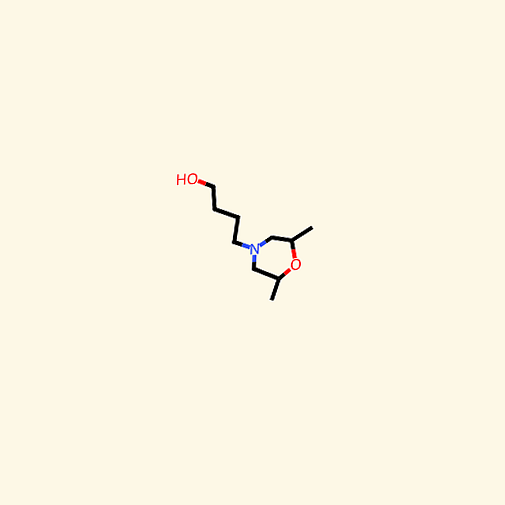 CC1CN(CCCCO)CC(C)O1